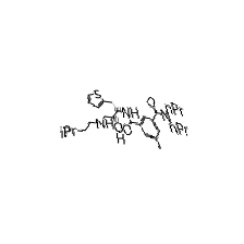 CCCN(CCC)C(=O)c1cc(C)cc(C(=O)N[C@@H](Cc2cccs2)[C@H](O)CNCCC(C)C)c1